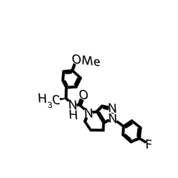 COc1ccc([C@H](C)NC(=O)N2CCCc3c2cnn3-c2ccc(F)cc2)cc1